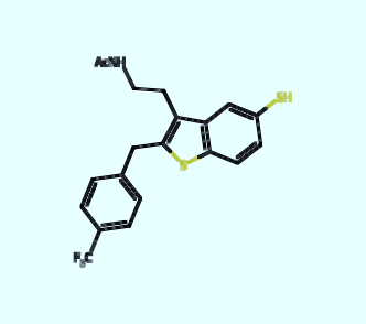 CC(=O)NCCc1c(Cc2ccc(C(F)(F)F)cc2)sc2ccc(S)cc12